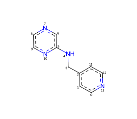 c1cc(CNc2cnccn2)ccn1